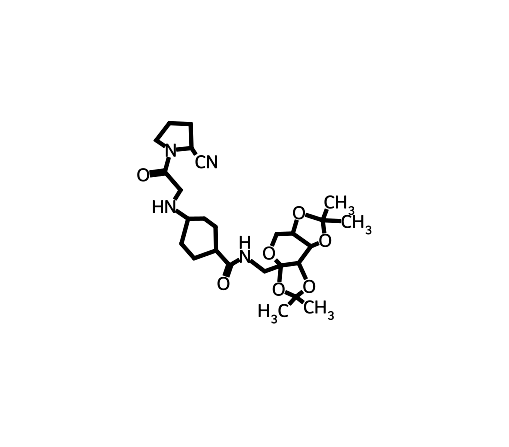 CC1(C)OC2COC3(CNC(=O)C4CCC(NCC(=O)N5CCCC5C#N)CC4)OC(C)(C)OC3C2O1